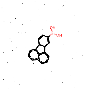 OB(O)C1=CC2c3cccc4cccc(c34)C2C=C1